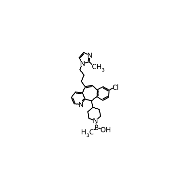 CB(O)N1CCC(C2c3ccc(Cl)cc3C=C(CCCn3ccnc3C)c3cccnc32)CC1